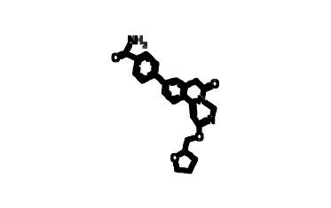 NC(=O)c1ccc(-c2ccc3c(c2)CC(=O)N2CN=C(OCC4CCCO4)C=C32)cc1